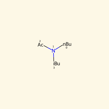 CCCCN(C(C)=O)C(C)CC